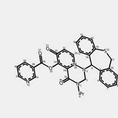 CC(C)N1CN(C2c3ccccc3CSc3ccccc32)n2ccc(=O)c(OC(=O)c3cccnc3)c2C1=O